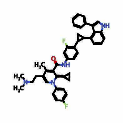 CC1=C(C(=O)Nc2ccc(C3CC3c3cccc4[nH]cc(-c5ccccc5)c34)c(F)c2)C(=C2CC2)N(c2ccc(F)cc2)C=C1CCN(C)C